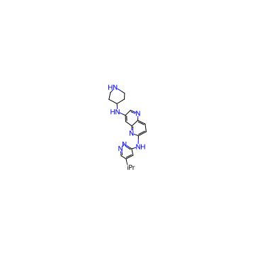 CC(C)c1cnnc(Nc2ccc3ncc(NC4CCNCC4)cc3n2)c1